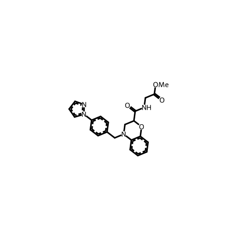 COC(=O)CNC(=O)C1CN(Cc2ccc(-n3cccn3)cc2)c2ccccc2O1